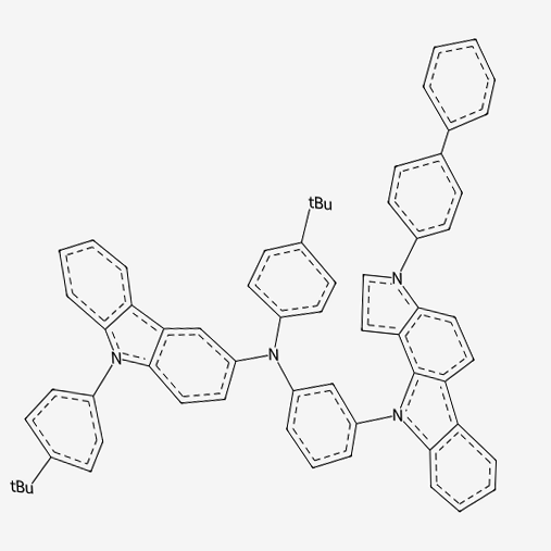 CC(C)(C)c1ccc(N(c2cccc(-n3c4ccccc4c4ccc5c(ccn5-c5ccc(-c6ccccc6)cc5)c43)c2)c2ccc3c(c2)c2ccccc2n3-c2ccc(C(C)(C)C)cc2)cc1